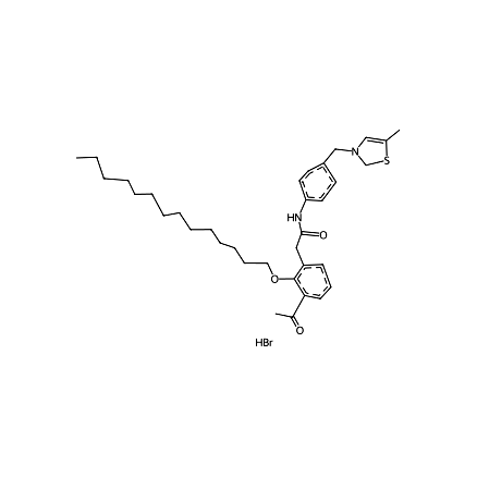 Br.CCCCCCCCCCCCCCOc1c(CC(=O)Nc2ccc(CN3C=C(C)SC3)cc2)cccc1C(C)=O